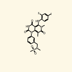 Cc1c(=O)n(C)c(Nc2ccc(I)cc2F)c2c(=O)[nH]c(=O)n(-c3cccc(CN(C)S(C)(=O)=O)c3)c12